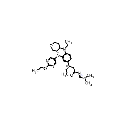 CCOc1ncc(Nc2cc([C@H](CC)CC(=O)/N=C/N(C)C)ccc2N(CC)C2CCOCC2)cn1